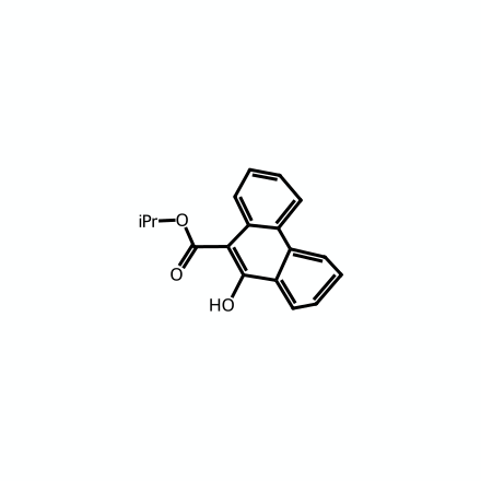 CC(C)OC(=O)c1c(O)c2ccccc2c2ccccc12